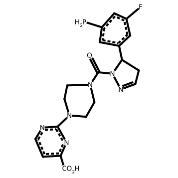 O=C(O)c1ccnc(N2CCN(C(=O)N3N=CCC3c3cc(F)cc(P)c3)CC2)n1